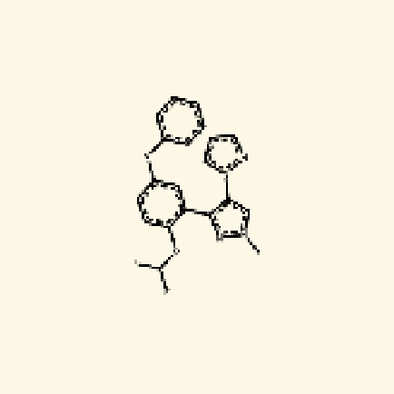 Cn1cc(-n2cccn2)c(-c2cc(Sc3ccccc3)ccc2OC(F)F)n1